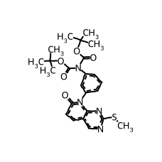 CSc1ncc2ccc(=O)n(-c3cccc(N(C(=O)OC(C)(C)C)C(=O)OC(C)(C)C)c3)c2n1